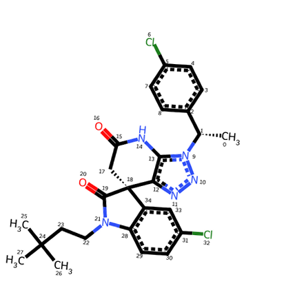 C[C@@H](c1ccc(Cl)cc1)n1nnc2c1NC(=O)C[C@]21C(=O)N(CCC(C)(C)C)c2ccc(Cl)cc21